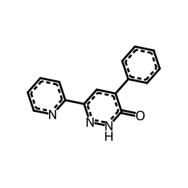 O=c1[nH]nc(-c2ccccn2)cc1-c1ccccc1